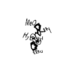 COc1ccc2[nH]cc(CC(C)NS(=O)(=O)c3ccc(C(C)(C)C)cc3)c2c1